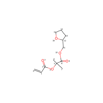 C=CC(=O)OC(C)(C)C(=O)OCC1CCCO1